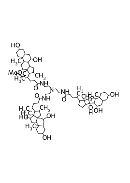 COC1CC2C(C(O)CC3CC(O)CCC32C)C2C[C@H](C)C([C@H](C)CCC(=O)NCCN(CCNC(=O)CCC(C)C3CCC4C3(C)C3CC5C(C(O)CC6CC(O)CCC65C)C43O)CCNC(=O)CC[C@@H](C)C3[C@@H](C)CC45CC(O)CC6CC(O)CCC6(C)C4CC(O)C35C)C12C